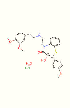 COc1ccc([C@H]2Sc3ccccc3N(CCN(C)CCc3ccc(OC)c(OC)c3)C(=O)[C@H]2O)cc1.Cl.O